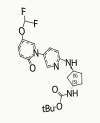 CC(C)(C)OC(=O)N[C@H]1CC[C@H](Nc2ccc(-n3cc(OC(F)F)ccc3=O)cn2)C1